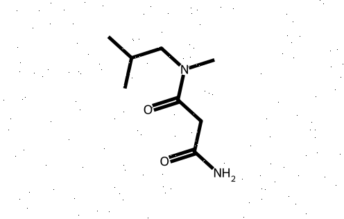 CC(C)CN(C)C(=O)CC(N)=O